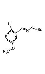 CC(C)(C)S/N=C/c1cc(OC(F)(F)F)ccc1F